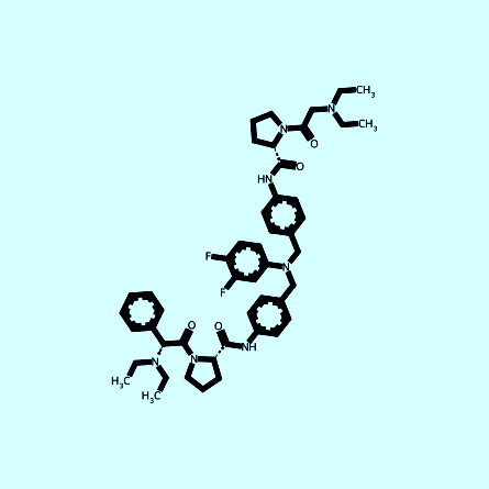 CCN(CC)CC(=O)N1CCC[C@H]1C(=O)Nc1ccc(CN(Cc2ccc(NC(=O)[C@@H]3CCCN3C(=O)[C@@H](c3ccccc3)N(CC)CC)cc2)c2ccc(F)c(F)c2)cc1